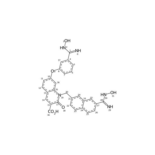 N=C(NO)c1cccc(Oc2ccc3cc(C(=O)O)c(=O)n(Cc4ccc5ccc(C(=N)NO)cc5c4)c3c2)c1